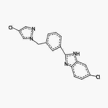 Clc1ccc2nc(-c3cccc(Cn4cc(Cl)cn4)c3)[nH]c2c1